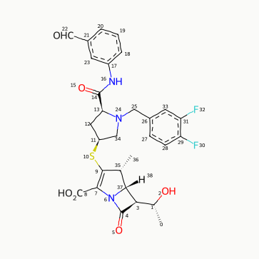 C[C@@H](O)[C@H]1C(=O)N2C(C(=O)O)=C(S[C@H]3C[C@@H](C(=O)Nc4cccc(C=O)c4)N(Cc4ccc(F)c(F)c4)C3)[C@H](C)[C@H]12